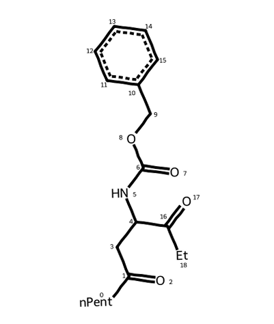 CCCCCC(=O)CC(NC(=O)OCc1ccccc1)C(=O)CC